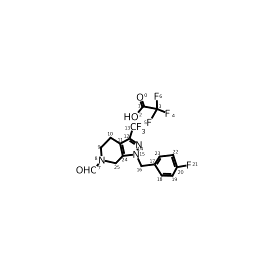 O=C(O)C(F)(F)F.O=CN1CCc2c(C(F)(F)F)nn(Cc3ccc(F)cc3)c2C1